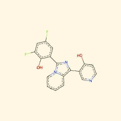 Oc1ccncc1-c1nc(-c2cc(F)cc(F)c2O)n2ccccc12